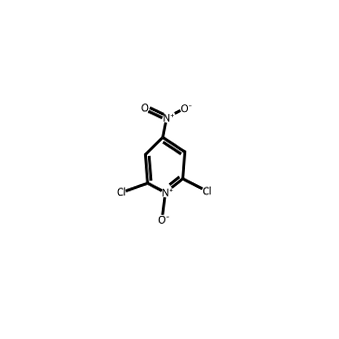 O=[N+]([O-])c1cc(Cl)[n+]([O-])c(Cl)c1